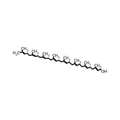 CC(C)=CCC/C(C)=C/CC/C(C)=C/CC/C(C)=C/CC/C(C)=C/CC/C(C)=C/CC/C(C)=C/CC/C(C)=C/CO